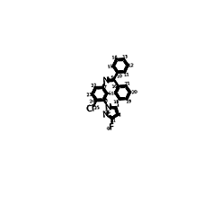 Fc1ccn(-c2cc(N=C(c3ccccc3)c3ccccc3)ccc2Cl)n1